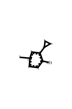 [CH2]Cc1ccc(C)cc1C1CC1